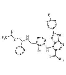 CCc1c(CNC(COC(=O)C(F)(F)F)c2ccccc2)cccc1Nc1c(C(N)=O)cnc2[nH]c(-c3ccc(F)cc3)cc12